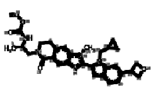 C[C@H](CN1CCc2cc3c(cc2C1=O)nc(-c1cc2ccc(C4COC4)cc2n1CC1CC1)n3C)NC(=O)OC(C)(C)C